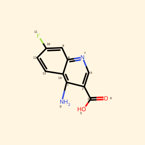 Nc1c(C(=O)O)cnc2cc(F)ccc12